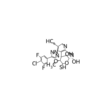 C#Cc1cnc(C#N)c([C@@]2(n3cc(-c4cc(F)c(Cl)c(F)c4)nn3)[C@H](O)[C@H](CO)O[C@@H](S)[C@H]2OC)c1